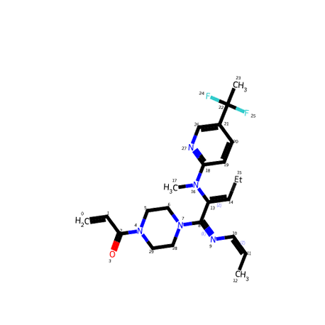 C=CC(=O)N1CCN(C(=N/C=C\C)/C(=C/CC)N(C)c2ccc(C(C)(F)F)cn2)CC1